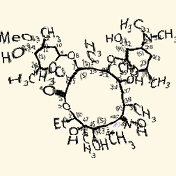 CC[C@H]1OC(=O)[C@H](C)[C@@H](OC2C[C@@](C)(OC)[C@@H](O)[C@H](C)O2)[C@H](C)[C@@H](O[C@@H]2O[C@H](C)C[C@H](N(C)C)[C@H]2O)[C@@](C)(O)C[C@@H](C)/C(=N\O)[C@H](C)[C@@H](O)[C@]1(C)O